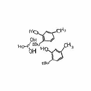 Cc1ccc(C(C)(C)C)c(O)c1.Cc1ccc(C(C)(C)C)c(O)c1.OP(O)O